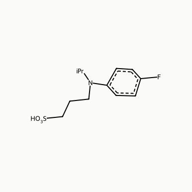 CC(C)N(CCCS(=O)(=O)O)c1ccc(F)cc1